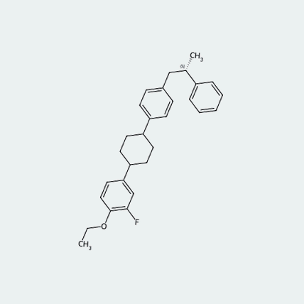 CCOc1ccc(C2CCC(c3ccc(C[C@H](C)c4ccccc4)cc3)CC2)cc1F